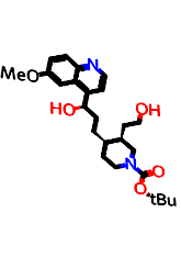 COc1ccc2nccc([C@H](O)CC[C@@H]3CCN(C(=O)OC(C)(C)C)C[C@@H]3CCO)c2c1